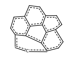 c1cc2ccc3ccc4ccc5ccc1c1c2c3c4c51